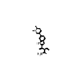 C=C/C(C(=C)c1cc2ccc(C3=CC=C(C)N(C)C3)cc2[nH]1)=C(\C)N